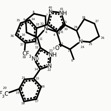 CC(C(=O)C(C)N1CCCCC1c1nc(-c2cccc(C(F)(F)F)c2)n[nH]1)N1CCCCC1c1nc(-c2cccc(C(F)(F)F)c2)n[nH]1